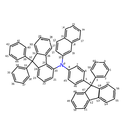 c1ccc(C2(c3ccc(N(c4ccc5ccccc5c4)c4cccc5c4-c4ccccc4C5(c4ccccc4)c4ccccc4)cc3)c3ccccc3-c3ccccc32)cc1